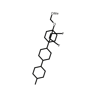 COCOC12CCC(C3CCC(C4CCC(C)CC4)CC3)(CC1)C(F)=C2F